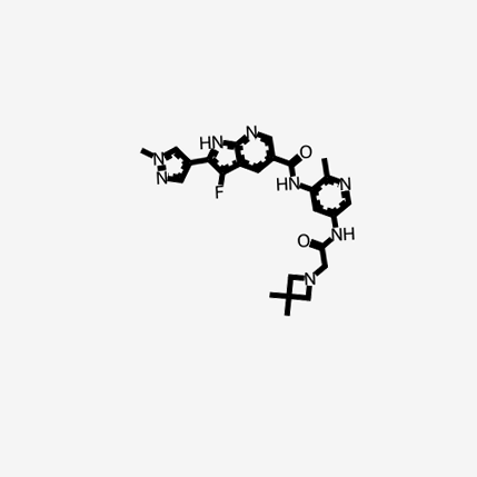 Cc1ncc(NC(=O)CN2CC(C)(C)C2)cc1NC(=O)c1cnc2[nH]c(-c3cnn(C)c3)c(F)c2c1